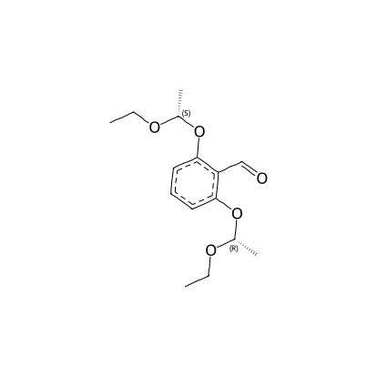 CCO[C@@H](C)Oc1cccc(O[C@@H](C)OCC)c1C=O